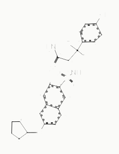 Cc1ccc(C(F)(F)[C@H](NS(=O)(=O)c2ccc3cc(OC4CCCC4)ccc3c2)C(N)=O)cc1